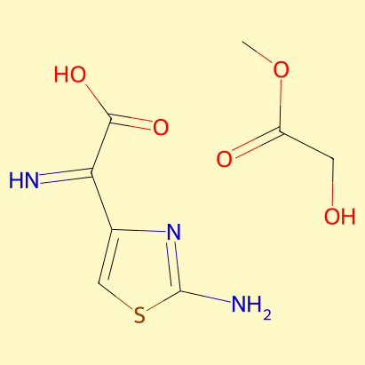 COC(=O)CO.N=C(C(=O)O)c1csc(N)n1